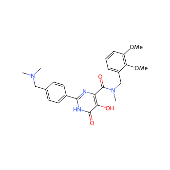 COc1cccc(CN(C)C(=O)c2nc(-c3ccc(CN(C)C)cc3)[nH]c(=O)c2O)c1OC